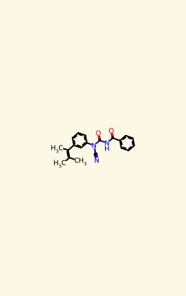 CC(C)=C(C)c1cccc(N(C#N)C(=O)NC(=O)c2ccccc2)c1